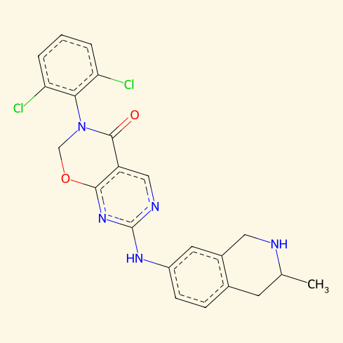 CC1Cc2ccc(Nc3ncc4c(n3)OCN(c3c(Cl)cccc3Cl)C4=O)cc2CN1